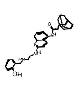 O=C(CC12CC3CC(CC(C3)C1)C2)Nc1cccc2nc(NCCNCc3ccccc3O)ccc12